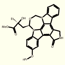 CCCOc1ccc2c(c1)c1c3c(c4c5ccccc5n5c4c1n2[C@@H](C[C@@](O)(CC)C(=O)OC)OC5)CNC3=O